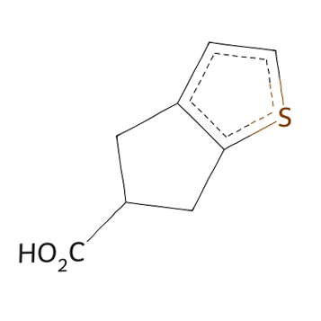 O=C(O)C1Cc2ccsc2C1